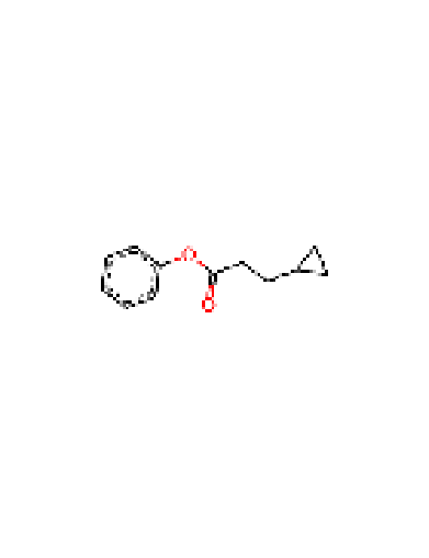 O=C(CCC1CC1)Oc1ccccc1